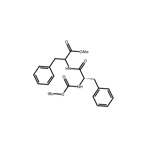 COC(=O)C(Cc1ccccc1)NC(=O)[C@H](Cc1ccccc1)NC(=O)OC(C)(C)C